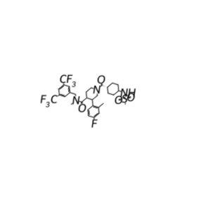 Cc1cc(F)ccc1C1CN(C(=O)[C@H]2CC[C@H](NS(C)(=O)=O)CC2)CCC1C(=O)N(C)Cc1cc(C(F)(F)F)cc(C(F)(F)F)c1